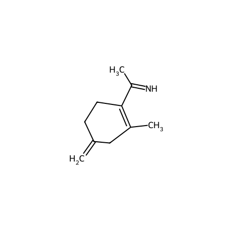 C=C1CCC(C(C)=N)=C(C)C1